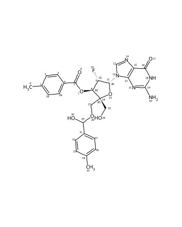 Cc1ccc(C(=O)O[C@H]2[C@H](F)[C@H](n3cnc4c(=O)[nH]c(N)nc43)O[C@]2(CO)COC(O)c2ccc(C)cc2)cc1